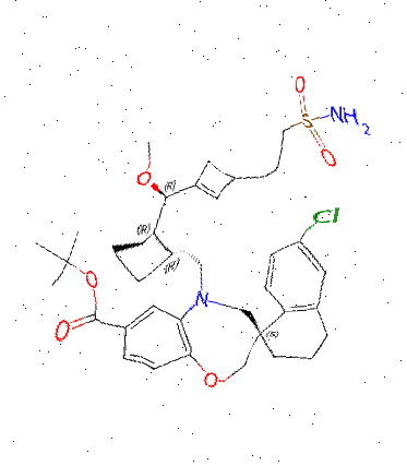 CO[C@@H](C1=CC(CCS(N)(=O)=O)C1)[C@@H]1CC[C@H]1CN1C[C@@]2(CCCc3cc(Cl)ccc32)COc2ccc(C(=O)OC(C)(C)C)cc21